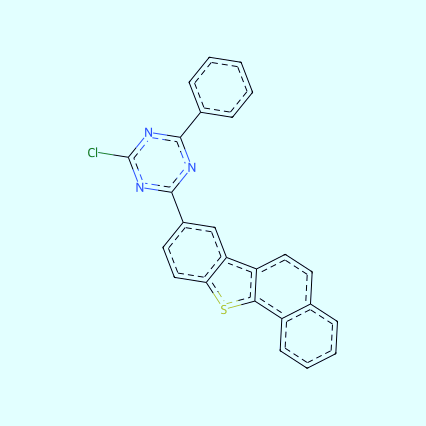 Clc1nc(-c2ccccc2)nc(-c2ccc3sc4c5ccccc5ccc4c3c2)n1